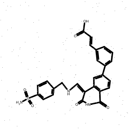 NS(=O)(=O)c1ccc(CN/C=C2\C(=O)NC(=O)c3ccc(-c4cccc(/C=C/C(=O)O)c4)cc32)cc1